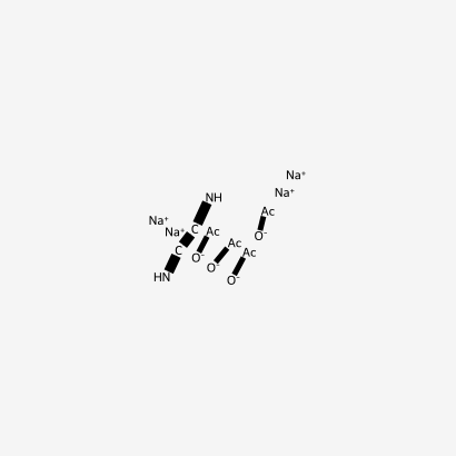 CC(=O)[O-].CC(=O)[O-].CC(=O)[O-].CC(=O)[O-].N=C=C=N.[Na+].[Na+].[Na+].[Na+]